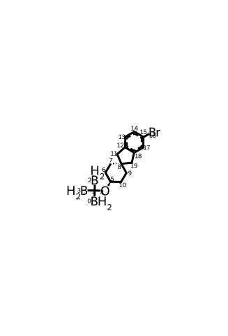 BC(B)(B)O[C@H]1CC[C@]2(CC1)Cc1ccc(Br)cc1C2